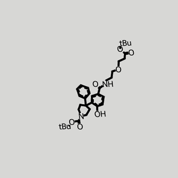 CC(C)(C)OC(=O)CCOCCCNC(=O)c1ccc(O)c(C2(c3ccccc3)CCN(C(=O)OC(C)(C)C)CC2)c1